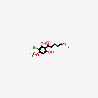 CCCCCC(=O)c1c(O)cc(OC)c(Br)c1O